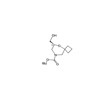 CC(C)(C)OC(=O)N1C[C@@H](CO)OC2(CCC2)C1